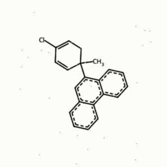 CC1(c2cc3ccccc3c3ccccc23)C=CC(Cl)=CC1